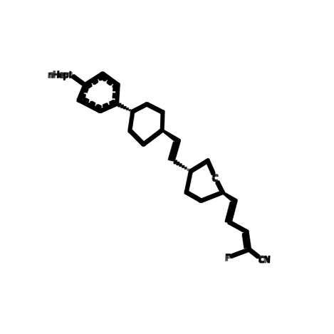 CCCCCCCc1ccc([C@H]2CC[C@H](C=C[C@H]3CC[C@H](C=CC=C(F)C#N)CC3)CC2)cc1